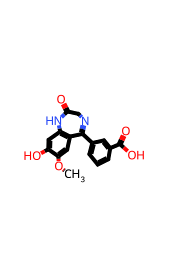 COc1cc2c(cc1O)NC(=O)CN=C2c1cccc(C(=O)O)c1